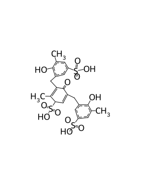 CC1=C(Cc2cc(S(=O)(=O)O)cc(C)c2O)C(=O)C(Cc2cc(S(=O)(=O)O)cc(C)c2O)=CC1S(=O)(=O)O